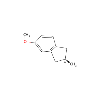 COc1ccc2c(c1)C[C@H](C)C2